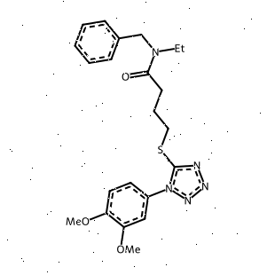 CCN(Cc1ccccc1)C(=O)CCCSc1nnnn1-c1ccc(OC)c(OC)c1